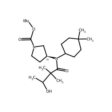 CC(O)C(C)(C)C(=O)N(C1CCC(C)(C)CC1)[C@H]1CCN(C(=O)OC(C)(C)C)C1